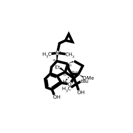 CC[C@]12c3c4ccc(O)c3O[C@H]1[C@]1(OC)CC[C@@]2(C[C@@H]1C(C)(O)C(C)(C)C)[C@H]([N+](C)(C)CC1CC1)C4